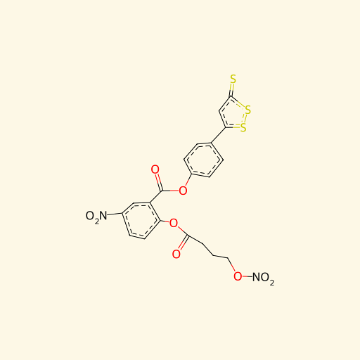 O=C(CCCO[N+](=O)[O-])Oc1ccc([N+](=O)[O-])cc1C(=O)Oc1ccc(-c2cc(=S)ss2)cc1